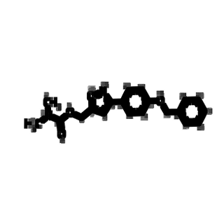 CN(C)C(=O)OCc1cc(-c2ccc(OCc3ccccc3)cc2)no1